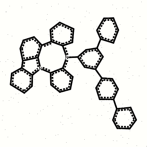 c1ccc(-c2ccc(-c3cc(-c4ccccc4)cc(-n4c5ccccc5c5cccc6c7ccccc7n(c7ccccc74)c56)c3)cc2)cc1